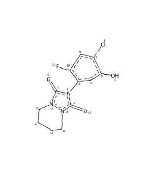 O=c1n(-c2cc(O)c(Cl)cc2F)c(=O)n2n1CCCC2